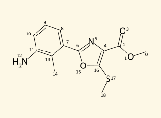 COC(=O)c1nc(-c2cccc(N)c2C)oc1SC